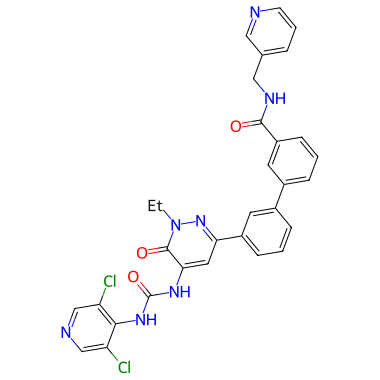 CCn1nc(-c2cccc(-c3cccc(C(=O)NCc4cccnc4)c3)c2)cc(NC(=O)Nc2c(Cl)cncc2Cl)c1=O